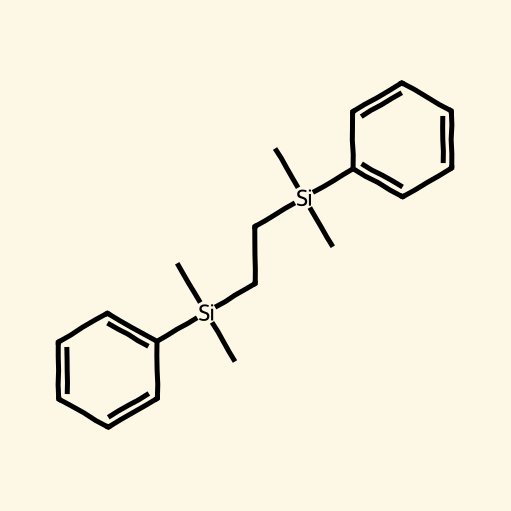 C[Si](C)(CC[Si](C)(C)c1ccccc1)c1ccccc1